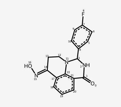 O=C1NC(c2ccc(F)cc2)N2CCC(=NO)c3cccc1c32